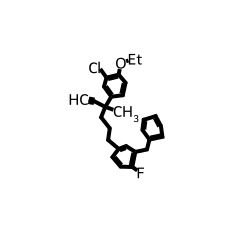 C#CC(C)(CCCc1ccc(F)c(Cc2ccccc2)c1)c1ccc(OCC)c(Cl)c1